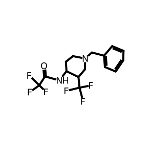 O=C(NC1CCN(Cc2ccccc2)CC1C(F)(F)F)C(F)(F)F